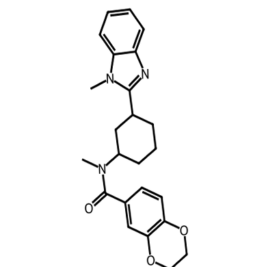 CN(C(=O)c1ccc2c(c1)OCCO2)C1CCCC(c2nc3ccccc3n2C)C1